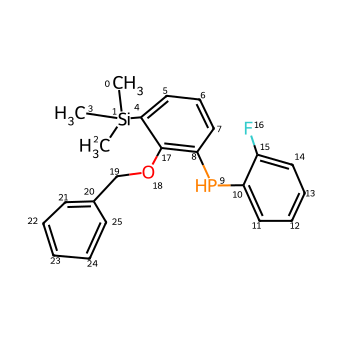 C[Si](C)(C)c1cccc(Pc2ccccc2F)c1OCc1ccccc1